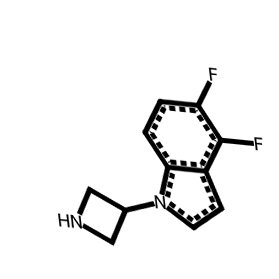 Fc1ccc2c(ccn2C2CNC2)c1F